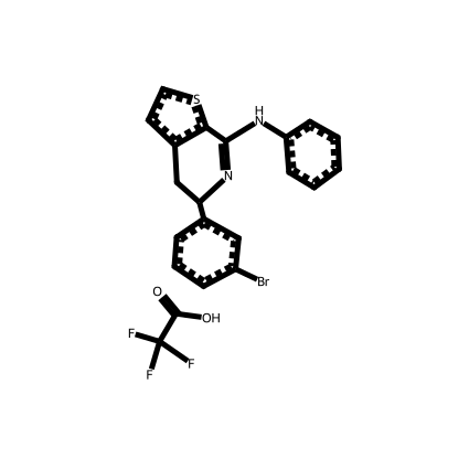 Brc1cccc(C2Cc3ccsc3C(Nc3ccccc3)=N2)c1.O=C(O)C(F)(F)F